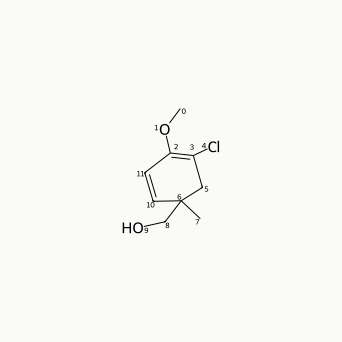 COC1=C(Cl)CC(C)(CO)C=C1